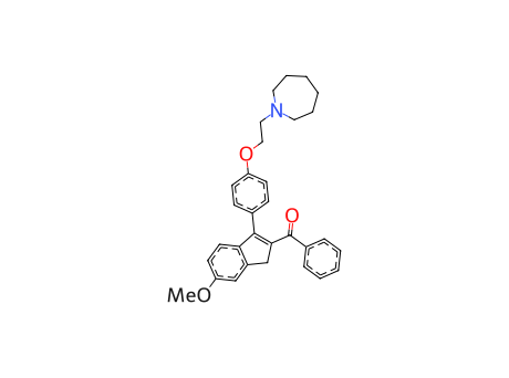 COc1ccc2c(c1)CC(C(=O)c1ccccc1)=C2c1ccc(OCCN2CCCCCC2)cc1